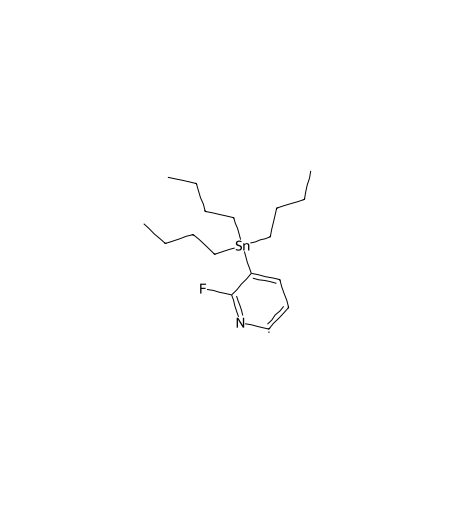 CCC[CH2][Sn]([CH2]CCC)([CH2]CCC)[c]1cc[c]nc1F